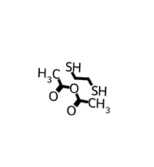 CC(=O)OC(C)=O.SCCS